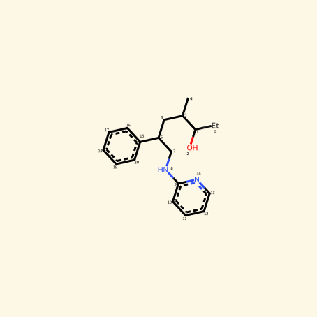 CCC(O)C(C)CC(CNc1ccccn1)c1ccccc1